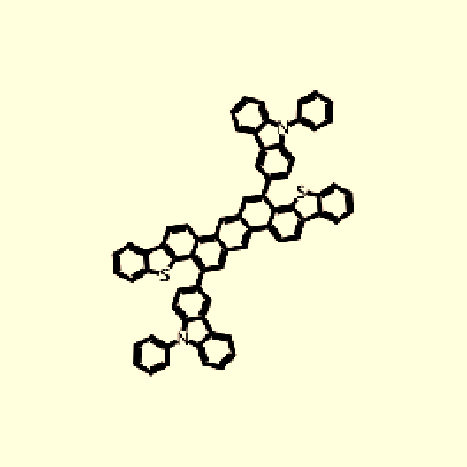 c1ccc(-n2c3ccccc3c3cc(-c4cc5cc6c(cc(-c7ccc8c(c7)c7ccccc7n8-c7ccccc7)c7c6ccc6c8ccccc8sc67)cc5c5ccc6c7ccccc7sc6c45)ccc32)cc1